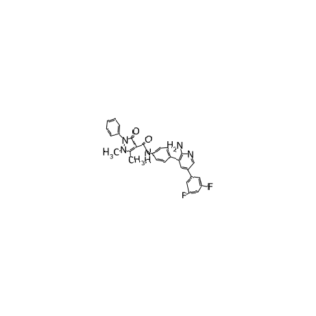 Cc1c(C(=O)Nc2ccc(-c3cc(-c4cc(F)cc(F)c4)cnc3N)cc2)c(=O)n(-c2ccccc2)n1C